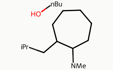 CCCCO.CNC1CCCCCC1CC(C)C